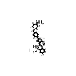 C[C@@H](Nc1ncnc2[nH]c(-c3ccc(CN4CCC(N)CC4)cc3)cc12)c1ccccc1